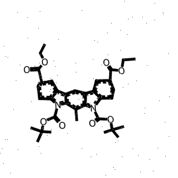 CCOC(=O)c1ccc2c(c1)c1cc3c4cc(C(=O)OCC)ccc4n(C(=O)OC(C)(C)C)c3c(C)c1n2C(=O)OC(C)(C)C